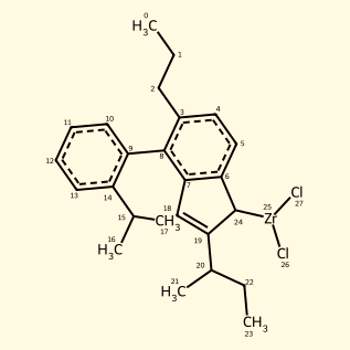 CCCc1ccc2c(c1-c1ccccc1C(C)C)C=C(C(C)CC)[CH]2[Zr]([Cl])[Cl]